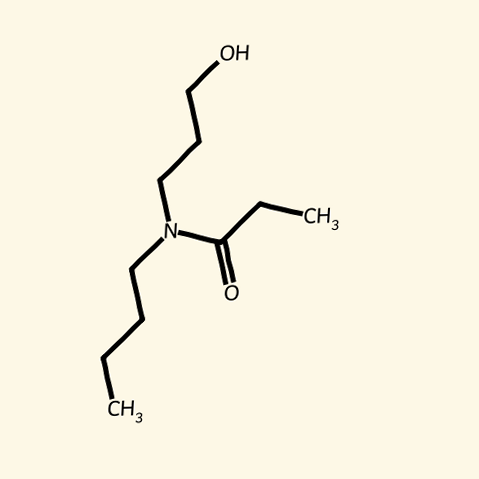 CCCCN(CCCO)C(=O)CC